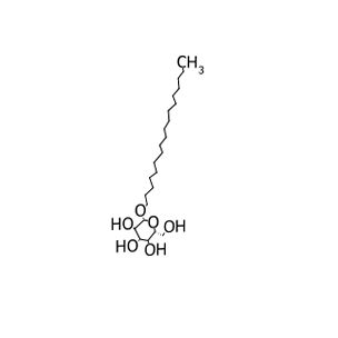 CCCCCCCCCCCCCCCCCCO[C@@H]1O[C@H](CO)[C@@H](O)[C@H](O)[C@H]1O